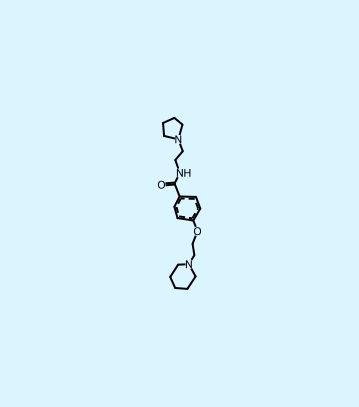 O=C(NCCN1CCCC1)c1ccc(OCCN2CCCCC2)cc1